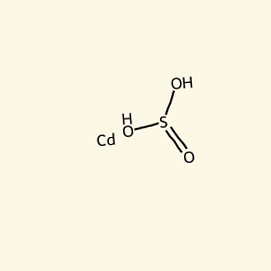 O=S(O)O.[Cd]